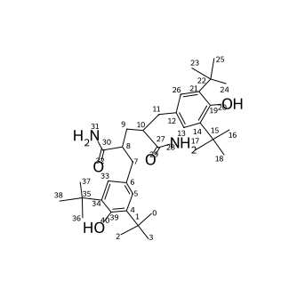 CC(C)(C)c1cc(CC(CC(Cc2cc(C(C)(C)C)c(O)c(C(C)(C)C)c2)C(N)=O)C(N)=O)cc(C(C)(C)C)c1O